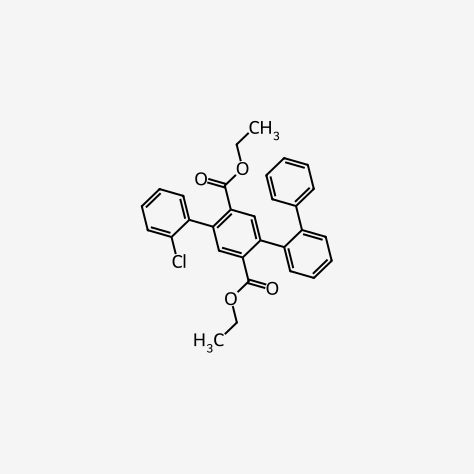 CCOC(=O)c1cc(-c2ccccc2-c2ccccc2)c(C(=O)OCC)cc1-c1ccccc1Cl